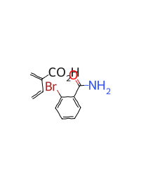 C=CC(=C)C(=O)O.NC(=O)c1ccccc1Br